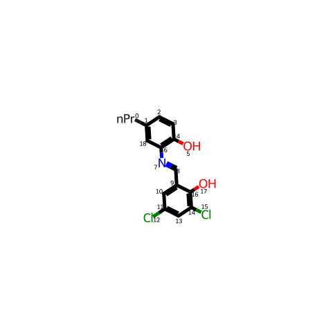 CCCc1ccc(O)c(/N=C/c2cc(Cl)cc(Cl)c2O)c1